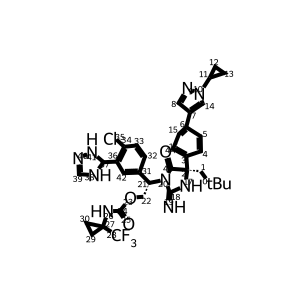 CC(C)(C)C[C@]1(c2ccc(-c3cnn(C4CC4)c3)cc2)NC(=N)N([C@H](COC(=O)NC2(C(F)(F)F)CC2)c2ccc(Cl)c(C3NC=NN3)c2)C1=O